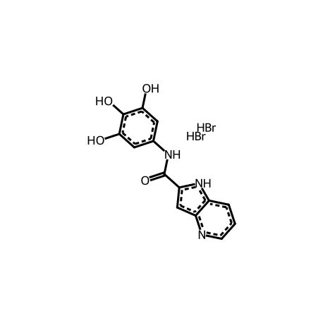 Br.Br.O=C(Nc1cc(O)c(O)c(O)c1)c1cc2ncccc2[nH]1